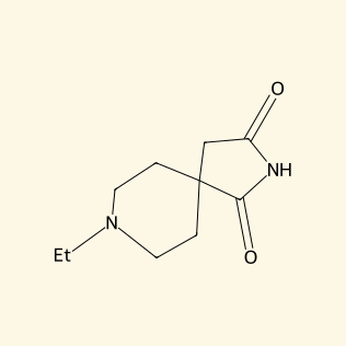 CCN1CCC2(CC1)CC(=O)NC2=O